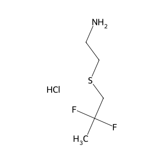 CC(F)(F)CSCCN.Cl